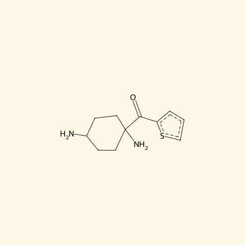 NC1CCC(N)(C(=O)c2cccs2)CC1